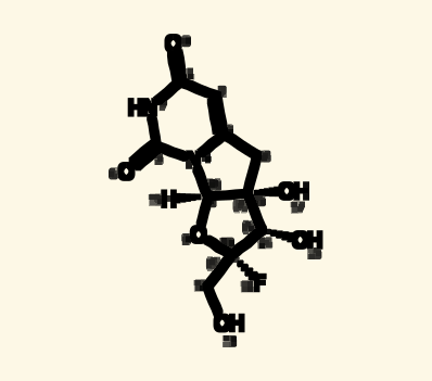 O=c1cc2n(c(=O)[nH]1)[C@@H]1O[C@](F)(CO)[C@@H](O)[C@]1(O)C2